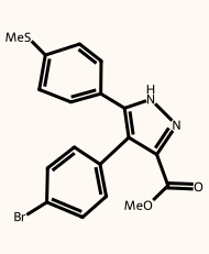 COC(=O)c1n[nH]c(-c2ccc(SC)cc2)c1-c1ccc(Br)cc1